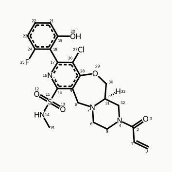 C=CC(=O)N1CCN2Cc3c(S(=O)(=O)NC)nc(-c4c(O)cccc4F)c(Cl)c3OC[C@H]2C1